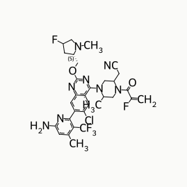 C=C(F)C(=O)N1CC(C)N(c2nc(OC[C@@H]3CC(F)CN3C)nc3cc(-c4nc(N)cc(C)c4C(F)(F)F)c(Cl)cc23)CC1CC#N